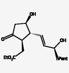 CCCCC[C@H](O)/C=C/[C@H]1[C@H](O)CC(=O)[C@@H]1CC(=O)OCC